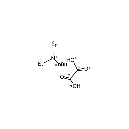 CCCCN(CC)CC.O=C(O)C(=O)O